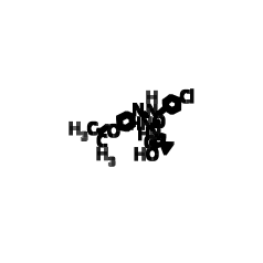 CC(C)COc1ccc(/N=C(/NCc2ccc(Cl)cc2)NC(=O)NCC2(C(=O)O)CC2)cc1